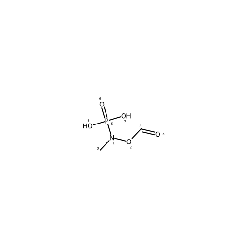 CN(OC=O)P(=O)(O)O